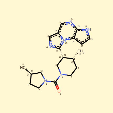 C[C@@H]1CCN(C(=O)N2CC[C@@H](C#N)C2)C[C@@H]1c1ncc2cnc3[nH]ccc3n12